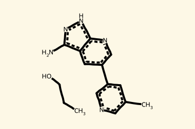 CCCO.Cc1cncc(-c2cnc3[nH]nc(N)c3c2)c1